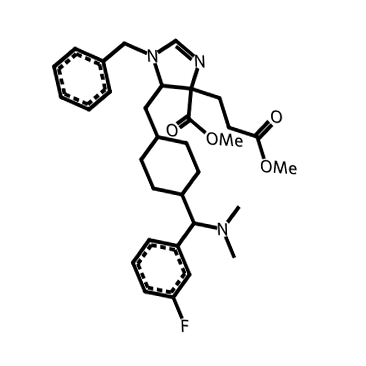 COC(=O)CCC1(C(=O)OC)N=CN(Cc2ccccc2)C1CC1CCC(C(c2cccc(F)c2)N(C)C)CC1